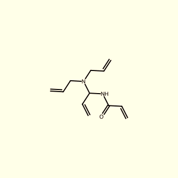 C=CCN(CC=C)C(C=C)NC(=O)C=C